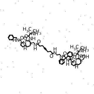 CC[C@H](NC)C(=O)N[C@@H]1C(=O)N2[C@@H](CC[C@@H]1CNC(=O)CCC#CCCC(=O)NCCNC(=O)C(NC(=O)[C@@H]1CC[C@@H]3CC[C@H](CO)[C@H](NC(=O)[C@H](CC)NC)C(=O)N31)(c1ccccc1)c1ccccc1)CC[C@H]2C(=O)NCc1ccccc1